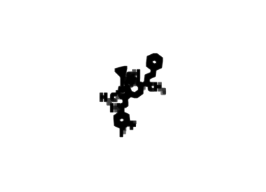 CC(CCc1ccccc1)[C@H]1CCc2c(cn(C)c2CNc2ccc(F)c(F)c2)S(=O)(=NC2CC2)N1